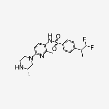 Cc1nc(N2CCN[C@@H](C)C2)ccc1NS(=O)(=O)c1ccc([C@H](C)C(F)F)cc1